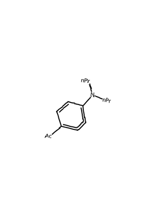 CCCN(CCC)C1=C=C=C(C(C)=O)C=C1